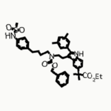 CCOC(=O)C(C)(C)c1ccc2[nH]c(-c3cc(C)cc(C)c3)c(CCN(CCCCc3ccc(NS(C)(=O)=O)cc3)C(=O)OCc3ccccc3)c2c1